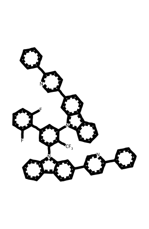 Fc1cccc(F)c1-c1cc(-n2c3ccccc3c3ccc(-c4ccc(-c5ccccc5)nc4)cc32)c(C(F)(F)F)c(-n2c3ccccc3c3ccc(-c4ccc(-c5ccccc5)nc4)cc32)c1